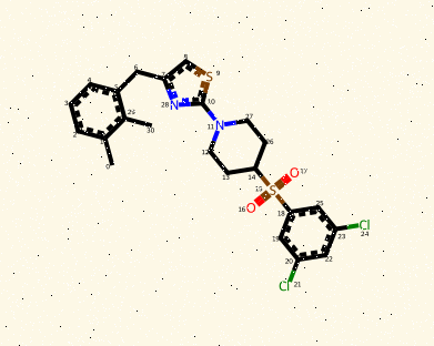 Cc1cccc(Cc2csc(N3CCC(S(=O)(=O)c4cc(Cl)cc(Cl)c4)CC3)n2)c1C